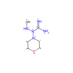 CCCNN(C(=N)N)N1CCOCC1